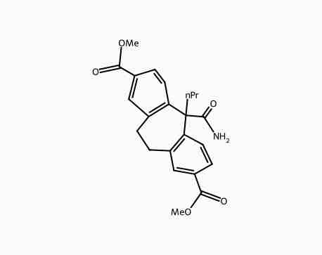 CCCC1(C(N)=O)c2ccc(C(=O)OC)cc2CCc2cc(C(=O)OC)ccc21